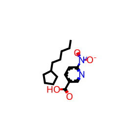 CCCCCC1CCCC1.O=C(O)c1ccc([N+](=O)[O-])nc1